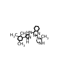 Cc1cc(C)c(C)c(-c2cc(Nc3nc(N4CCNC[C@H]4C)nc4ccccc34)n[nH]2)c1